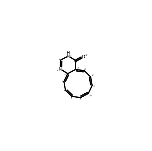 O=c1[nH]cnc2ccccccccc12